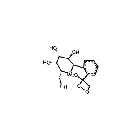 COC1(c2ccccc2C2O[C@H](CO)[C@H](O)[C@H](O)[C@H]2O)COO1